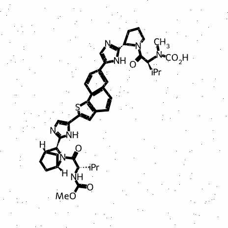 COC(=O)N[C@H](C(=O)N1[C@@H]2CC[C@@H](C2)[C@H]1c1ncc(-c2cc3ccc4cc(-c5cnc([C@@H]6CCCN6C(=O)[C@H](C(C)C)N(C)C(=O)O)[nH]5)ccc4c3s2)[nH]1)C(C)C